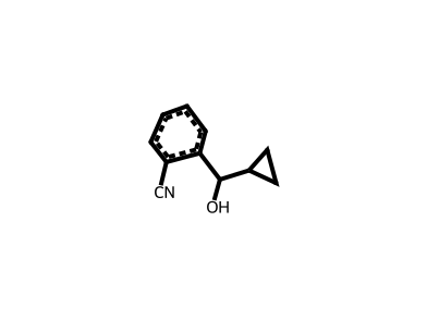 N#Cc1ccccc1C(O)C1CC1